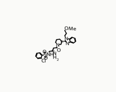 COCCCn1c([C@@H]2CCCN(C(=O)C[C@@H](N)CNS(=O)(=O)c3ccccc3Cl)C2)nc2ccccc21